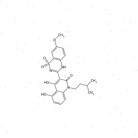 COc1ccc2c(c1)S(=O)(=O)N=C(c1c(O)c3c(O)cccc3n(CCC(C)C)c1=O)N2